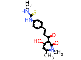 CNC(=S)Nc1ccc(C=CC(=O)c2c(O)cc(C)n(C)c2=O)cc1